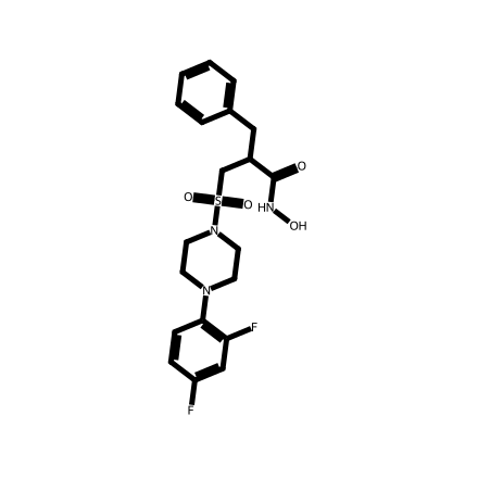 O=C(NO)C(Cc1ccccc1)CS(=O)(=O)N1CCN(c2ccc(F)cc2F)CC1